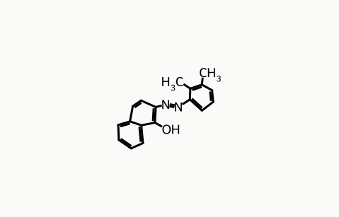 Cc1cccc(N=Nc2ccc3ccccc3c2O)c1C